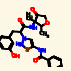 CC1OCC(=O)C1(C)NC(=O)C(Cc1cccc(O)c1)N1C=C(NC(=O)c2ccccc2)SN1